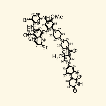 CCc1ccc2c(P(C)(C)=O)c(Nc3nc(Nc4cc(CC)c(N5CCC(N6CCN(C(=O)[C@H]7CN(c8cc(F)c([C@H]9CCC(=O)NC9=O)c(F)c8)CC7(C)C)CC6)CC5)cc4OC)ncc3Br)ccc2n1